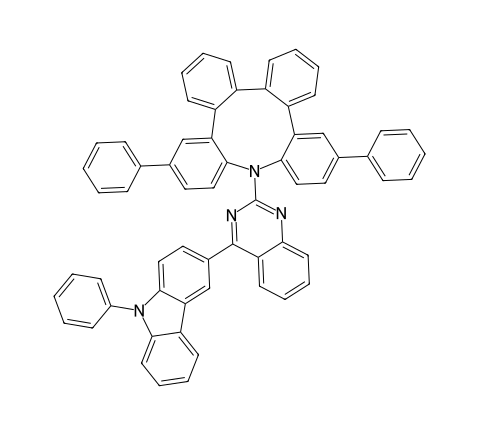 c1ccc(-c2ccc3c(c2)c2ccccc2c2ccccc2c2cc(-c4ccccc4)ccc2n3-c2nc(-c3ccc4c(c3)c3ccccc3n4-c3ccccc3)c3ccccc3n2)cc1